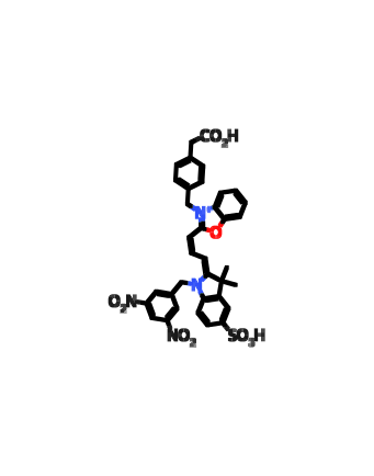 CC1(C)/C(=C/C=C\c2oc3ccccc3[n+]2Cc2ccc(CC(=O)O)cc2)N(Cc2cc([N+](=O)[O-])cc([N+](=O)[O-])c2)c2ccc(S(=O)(=O)O)cc21